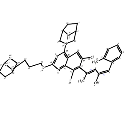 C/C(=C\C(O)=C/c1ccccc1C)c1c(Cl)cc2c(N3CC4CCC(C3)N4)nc(OCCCN3CC4CCC3CO4)nc2c1F